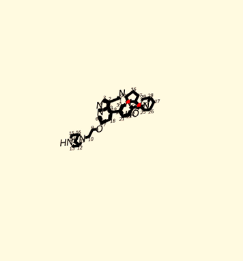 N#Cc1cnn2cc(OCCN3C4CNCC3C4)cc(-c3ccc(N4CC5CC(C4)N5C(O)C4CCCC4)nc3)c12